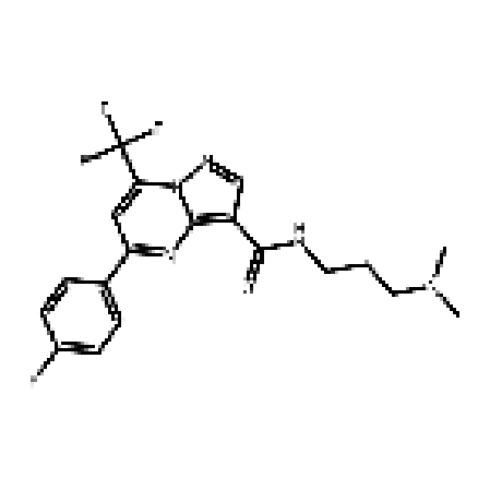 CN(C)CCCNC(=O)c1cnn2c(C(F)(F)F)cc(-c3ccc(F)cc3)nc12